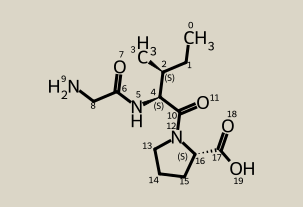 CC[C@H](C)[C@H](NC(=O)CN)C(=O)N1CCC[C@H]1C(=O)O